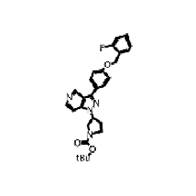 CC(C)(C)OC(=O)N1CCC(n2nc(-c3ccc(OCc4ccccc4F)cc3)c3cnccc32)C1